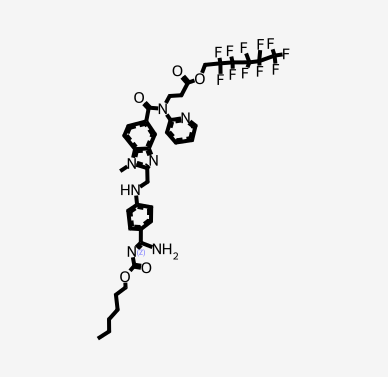 CCCCCCOC(=O)/N=C(\N)c1ccc(NCc2nc3cc(C(=O)N(CCC(=O)OCC(F)(F)C(F)(F)C(F)(F)C(F)(F)C(F)(F)F)c4ccccn4)ccc3n2C)cc1